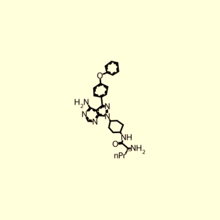 CCC[C@H](N)C(=O)NC1CCC(n2nc(-c3ccc(Oc4ccccc4)cc3)c3c(N)ncnc32)CC1